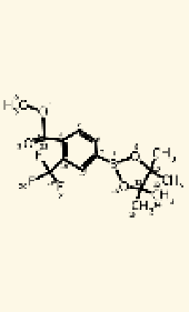 COC(=O)c1ccc(B2OC(C)(C)C(C)(C)O2)cc1C(F)(F)F